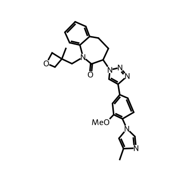 COc1cc(-c2cn(C3CCc4ccccc4N(CC4(C)COC4)C3=O)nn2)ccc1-n1cnc(C)c1